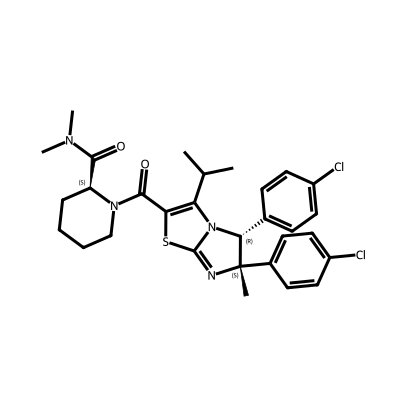 CC(C)C1=C(C(=O)N2CCCC[C@H]2C(=O)N(C)C)SC2=N[C@@](C)(c3ccc(Cl)cc3)[C@@H](c3ccc(Cl)cc3)N21